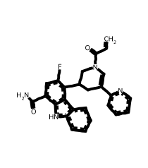 C=CC(=O)N1C=C(c2ccccn2)CC(c2c(F)cc(C(N)=O)c3[nH]c4ccccc4c23)C1